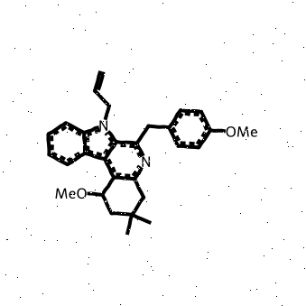 C=CCn1c2ccccc2c2c3c(nc(Cc4ccc(OC)cc4)c21)CC(C)(C)CC3OC